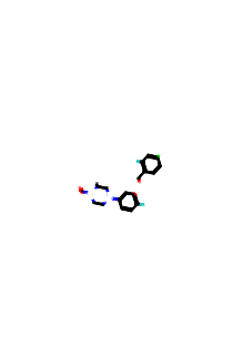 CC1CN(c2ccc(F)c(OCc3ccc(Cl)cc3F)c2)CCN1C(=O)O